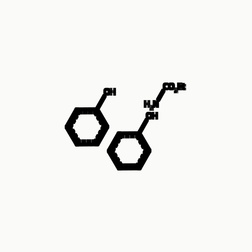 CCOC(N)=O.Oc1ccccc1.Oc1ccccc1